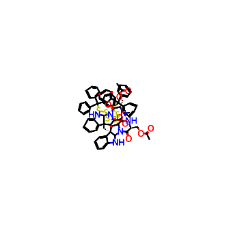 CC(=O)OC[C@@H]1NC(=O)[C@@]2(SSSC(c3ccccc3)(c3ccccc3)c3ccccc3)C[C@]3(C[C@]45C[C@]6(SSSC(c7ccccc7)(c7ccccc7)c7ccccc7)C(=O)N(C)[C@@H](COC(C)=O)C(=O)N6C4Nc4ccccc45)c4ccccc4NC3N2C1=O